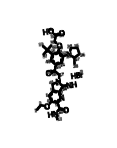 Br.CCOc1cc2c(nc1C(=O)NC)C(=N)N(CC(=O)c1cc(N3CCCC3C)c(OCC(=O)O)c(C(C)(C)C)c1)C2